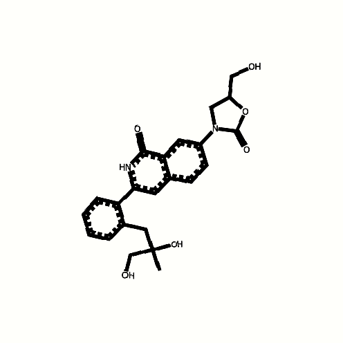 CC(O)(CO)Cc1ccccc1-c1cc2ccc(N3CC(CO)OC3=O)cc2c(=O)[nH]1